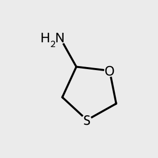 NC1CSCO1